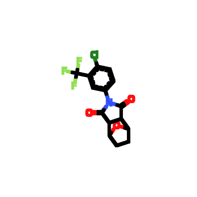 O=C1C2C3CCC(O3)C2C(=O)N1c1ccc(Cl)c(C(F)(F)F)c1